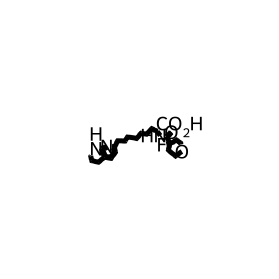 O=C(O)C(CCCCCCCc1ccc2c(n1)NCCC2)NC(=O)C1(F)CCOCC1